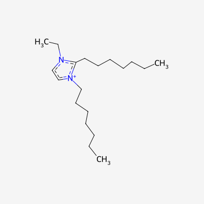 CCCCCCCc1n(CC)cc[n+]1CCCCCCC